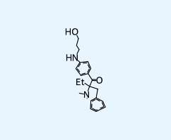 CCC(Cc1ccccc1)(C(=O)c1ccc(NCCCO)cc1)N(C)C